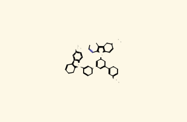 C/C=C\c1c(C)c2c(n1C1C=C([C@@H]3C=C(n4c5c(c6cc(C#N)ccc64)C=CCC5)C=CC3)C=C(C3=CC(C#N)=CCC3)C1)C=CC(C#N)C2